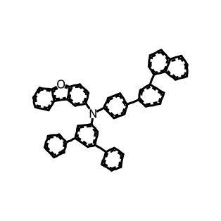 c1ccc(-c2cc(-c3ccccc3)cc(N(c3ccc(-c4cccc(-c5cccc6ccccc56)c4)cc3)c3ccc4oc5ccccc5c4c3)c2)cc1